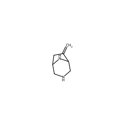 C=C1CC2CNCC1N2